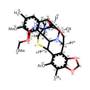 CCCC(=O)N[C@H]1CS[C@@H]2c3c(OC(C)=O)c(C)c4c(c3[C@H](COC1=O)N1C2[C@H]2c3c(cc(C)c(OC)c3OCOC)C[C@@H]([C@@H]1C#N)N2C)OCO4